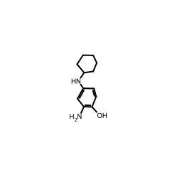 Nc1cc(NC2CCCCC2)ccc1O